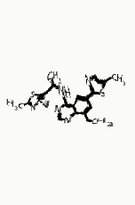 CCc1cc(-c2ncc(C)s2)cc2c(NC(C)c3nnc(C)s3)ncnc12